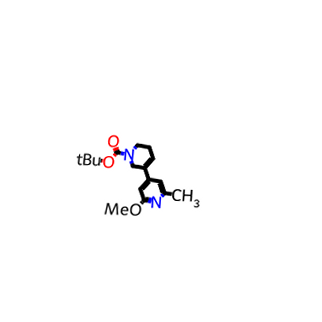 COc1cc(C2=CCCN(C(=O)OC(C)(C)C)C2)cc(C)n1